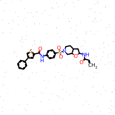 C=CC(=O)NC1CC2CCN(S(=O)(=O)c3ccc(NC(=O)c4cc(-c5ccccc5)cs4)cc3)CC2O1